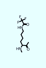 CNC(CCCCNC(=O)C(F)(F)F)C(C)=O